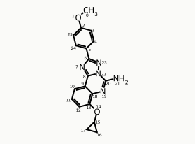 COc1ccc(-c2nc3c4cccc(OC5CC5)c4nc(N)n3n2)cc1